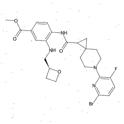 COC(=O)c1ccc(NC(=O)C2CC23CCN(c2nc(Br)ccc2F)CC3)c(NC[C@@H]2CCO2)c1